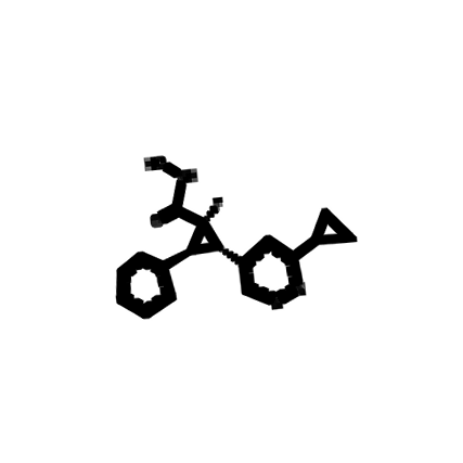 O=C(NO)[C@]1(F)[C@H](c2ccccc2)[C@H]1c1cnnc(C2CC2)c1